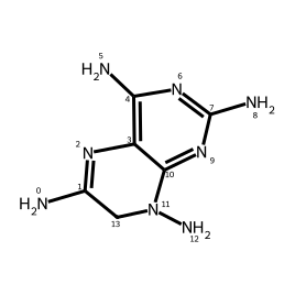 NC1=Nc2c(N)nc(N)nc2N(N)C1